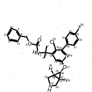 CC(C)(NC(=O)OCc1ccccc1)c1cc(O[C@H]2[C@@H]3CNC[C@@H]32)nc(-c2ccc(F)cc2)c1Cl